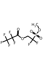 COS(=O)(=O)C(F)(F)COC(=O)C(F)(F)C(F)(F)F